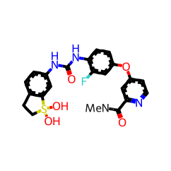 CNC(=O)c1cc(Oc2ccc(NC(=O)Nc3ccc4c(c3)S(O)(O)CC4)c(F)c2)ccn1